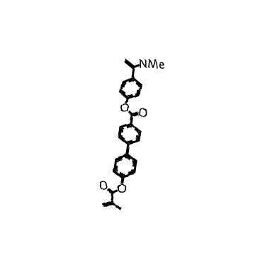 C=C(C)C(=O)Oc1ccc(-c2ccc(C(=O)Oc3ccc(C(=C)NC)cc3)cc2)cc1